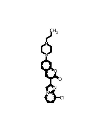 CCCN1CCN(c2ccc3cc(-c4cn5cccc(Cl)c5n4)c(=O)oc3c2)CC1